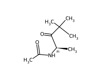 CC(=O)N[C@H](C)C(=O)C(C)(C)C